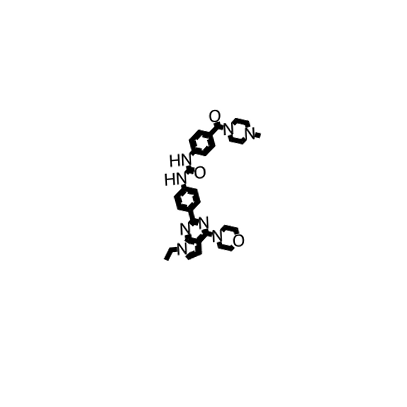 CCn1ccc2c(N3CCOCC3)nc(-c3ccc(NC(=O)Nc4ccc(C(=O)N5CCN(C)CC5)cc4)cc3)nc21